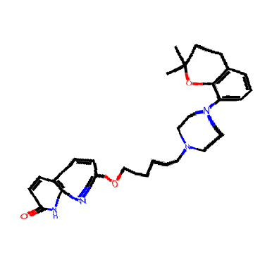 CC1(C)CCc2cccc(N3CCN(CCCCOc4ccc5ccc(=O)[nH]c5n4)CC3)c2O1